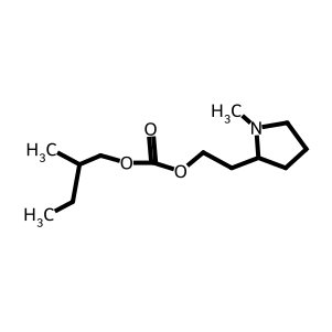 CCC(C)COC(=O)OCCC1CCCN1C